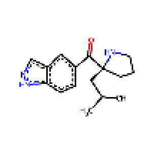 CC(C)C[C@]1(C(=O)c2ccc3[nH]ncc3c2)CCCN1